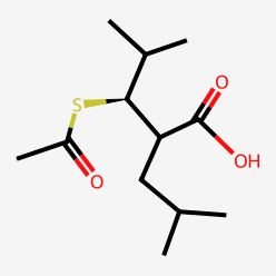 CC(=O)S[C@@H](C(C)C)C(CC(C)C)C(=O)O